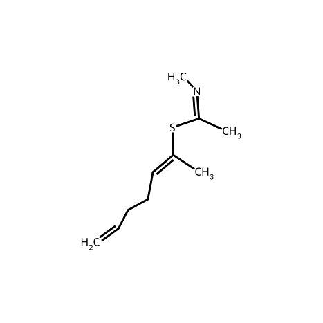 C=CCC/C=C(\C)S/C(C)=N\C